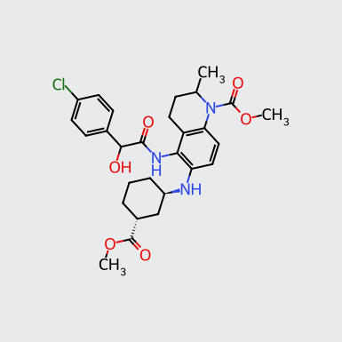 COC(=O)[C@@H]1CCC[C@@H](Nc2ccc3c(c2NC(=O)C(O)c2ccc(Cl)cc2)CCC(C)N3C(=O)OC)C1